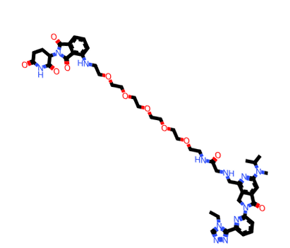 CCn1cnnc1-c1cccc(N2Cc3c(cc(N(C)C(C)C)nc3CNCC(=O)NCCOCCOCCOCCOCCOCCNc3cccc4c3C(=O)N(C3CCC(=O)NC3=O)C4=O)C2=O)n1